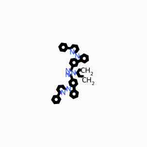 C=C/C=C(\C=C)n1c(-c2ccc3c(c2)c2ccccc2n3-c2cccc(-c3ccccc3)n2)nnc1-c1ccc2c3ccccc3n(-c3cccc(-c4ccccc4)n3)c2c1